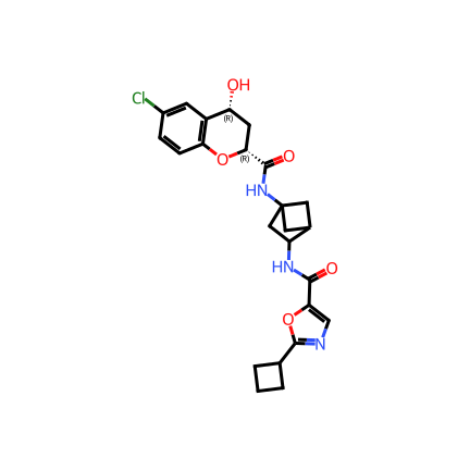 O=C(NC1CC2(NC(=O)[C@H]3C[C@@H](O)c4cc(Cl)ccc4O3)CC1C2)c1cnc(C2CCC2)o1